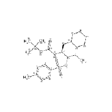 CCC(OS(=O)(=O)c1ccc(C)cc1)[C@H](CC1CCCCC1)NC(=O)OC(C)(C)C